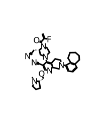 C=C(F)C(=O)N1CCN(c2c(C#N)c(OC[C@@H]3CCCN3C)nc3c2CCN(c2cccc4c2CCCCC4)C3)C[C@@H]1CC#N